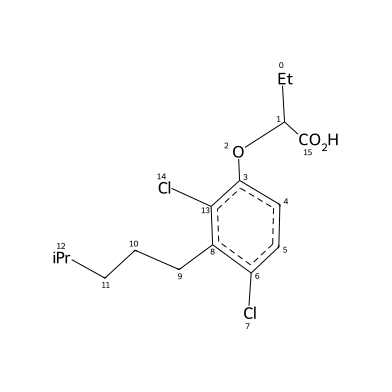 CCC(Oc1ccc(Cl)c(CCCC(C)C)c1Cl)C(=O)O